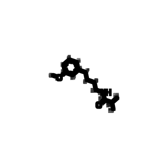 COc1cccc(CCCCNC(=O)C(C)C)c1